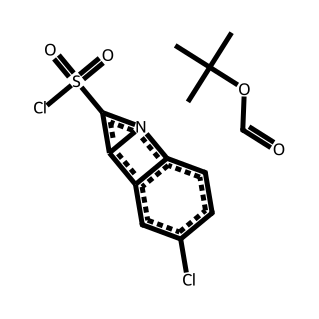 CC(C)(C)OC=O.O=S(=O)(Cl)c1c2c3cc(Cl)ccc3n1-2